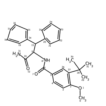 COc1ccc(C(=O)NC(C(N)=O)C(c2ccccc2)c2ccccc2)cc1C(C)(C)C